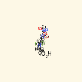 CCC(=O)NC[C@H]1CN(c2cc(F)c(N3C[C@@H]4C(C(=O)O)[C@@H]4C3)c(F)c2)C(=O)O1